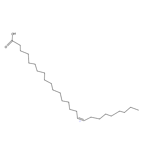 CCCCCCCC/C=C\CCCCCCCCCCCCCCCC(=O)O